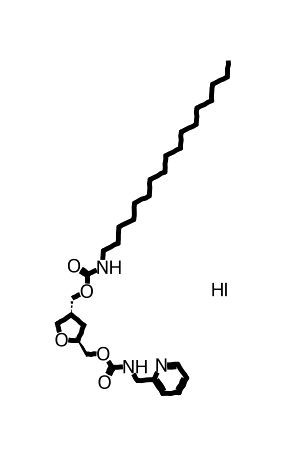 CCCCCCCCCCCCCCCCCNC(=O)OC[C@H]1CO[C@H](COC(=O)NCc2ccccn2)C1.I